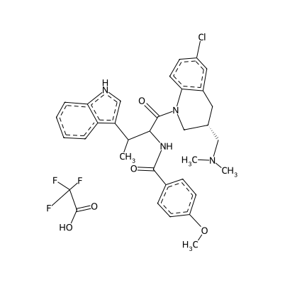 COc1ccc(C(=O)NC(C(=O)N2C[C@@H](CN(C)C)Cc3cc(Cl)ccc32)C(C)c2c[nH]c3ccccc23)cc1.O=C(O)C(F)(F)F